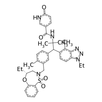 CC[C@@H]1CN(Cc2cc(C(c3ccc4c(nnn4CC)c3C)C(C)(C)NC(=O)c3ccc(=O)[nH]c3)ccc2C)S(=O)(=O)c2ccccc2O1